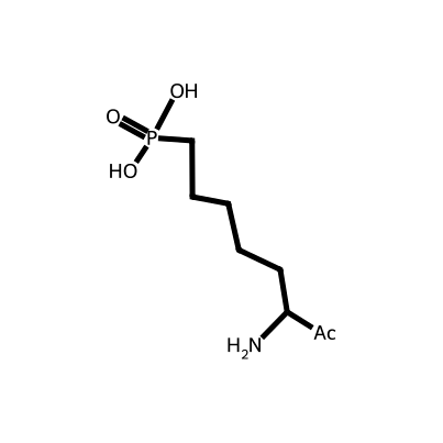 CC(=O)C(N)CCCCCP(=O)(O)O